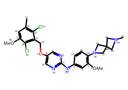 COc1cc(Nc2ncc(OCc3c(Cl)c(C)cc(OC)c3Cl)cn2)ccc1N1CC2(CN(C)C2)C1